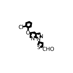 O=Cc1cc(-n2ncc3cc(Oc4ccccc4Cl)cnc32)cs1